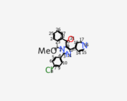 COCn1c(-c2ccc(Cl)cc2)nc(-c2ccncc2)c1C(=O)c1ccccc1